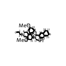 C=CCN1CC[C@@]2(c3cccc(OC)c3)C[C@@H](N(CC(C)C)C(=O)c3ccc4ccccc4c3)CC[C@]2(OC)C1